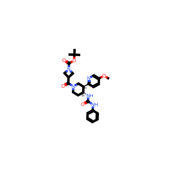 COc1ccc([C@@H]2CN(C(=O)C3CN(C(=O)OC(C)(C)C)C3)CC[C@H]2NC(=O)Nc2ccccc2)nc1